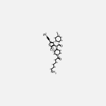 CC(C)C#Cc1cc(N(C(=O)[C@H]2CC[C@H](C)CC2)C2CCN(C(=O)CCCCCN)CC2)c(C(=O)O)s1